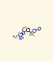 CC(c1ccc2c(c1)-c1nc(-c3ncnn3C(C)C)cn1CCO2)N1CCC(N2CCCC2)CC1